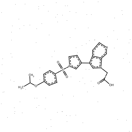 CC(C)Oc1ccc(S(=O)(=O)n2ccc(-c3cn(CC(=O)O)c4cnccc34)c2)cc1